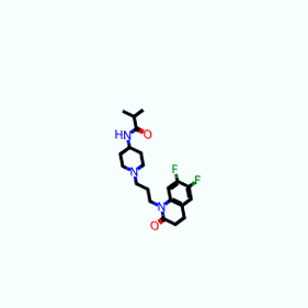 CC(C)C(=O)NC1CCN(CCCN2C(=O)CCc3cc(F)c(F)cc32)CC1